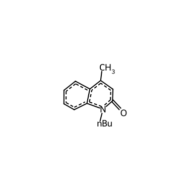 CCCCn1c(=O)cc(C)c2ccccc21